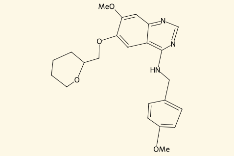 COc1ccc(CNc2ncnc3cc(OC)c(OCC4CCCCO4)cc23)cc1